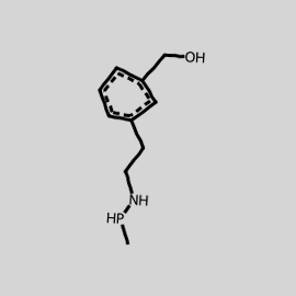 CPNCCc1cccc(CO)c1